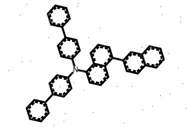 c1ccc(-c2ccc(N(c3ccc(-c4ccccc4)cc3)c3cccc4c(-c5ccc6ccccc6c5)cccc34)cc2)cc1